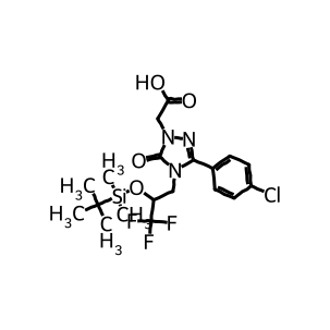 CC(C)(C)[Si](C)(C)OC(Cn1c(-c2ccc(Cl)cc2)nn(CC(=O)O)c1=O)C(F)(F)F